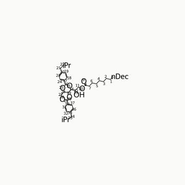 CCCCCCCCCCCCCCCCCC(=O)OCC(O)C1OC(c2ccc(CC(C)C)cc2)OC2COC(c3ccc(CC(C)C)cc3)OC21